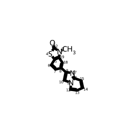 Cn1c(=O)sc2ccc(-c3cn4ccccc4n3)cc21